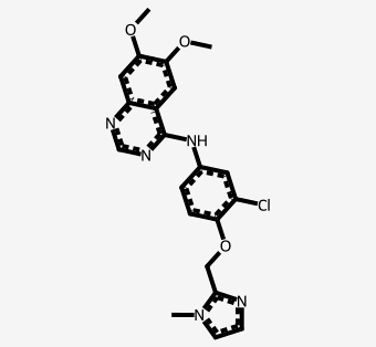 COc1cc2ncnc(Nc3ccc(OCc4nccn4C)c(Cl)c3)c2cc1OC